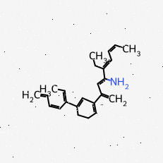 C=C/C=C\C(=C/C)C1=CC(C(=C)/C=C(N)/C(=C/C=C\C)CC)=CCC1